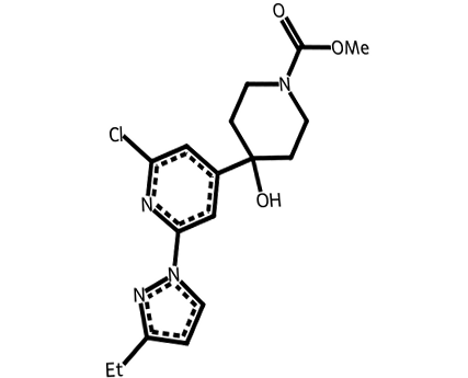 CCc1ccn(-c2cc(C3(O)CCN(C(=O)OC)CC3)cc(Cl)n2)n1